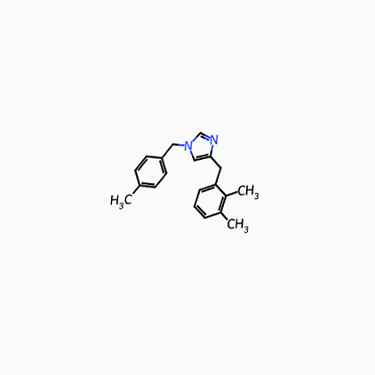 Cc1ccc(Cn2cnc(Cc3cccc(C)c3C)c2)cc1